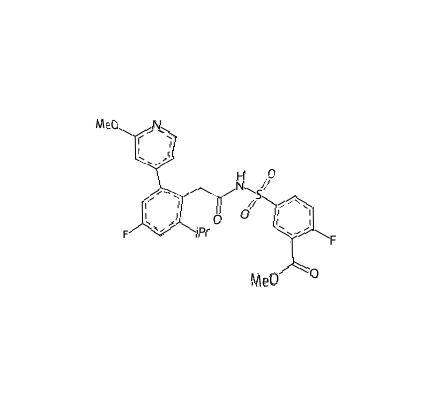 COC(=O)c1cc(S(=O)(=O)NC(=O)Cc2c(-c3ccnc(OC)c3)cc(F)cc2C(C)C)ccc1F